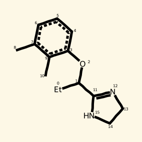 CCC(Oc1cccc(C)c1C)C1=NCCN1